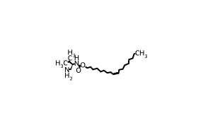 CCCCCCCC/C=C\CCCCCCCCOC(=O)N[C@@H](CN)C(C)C